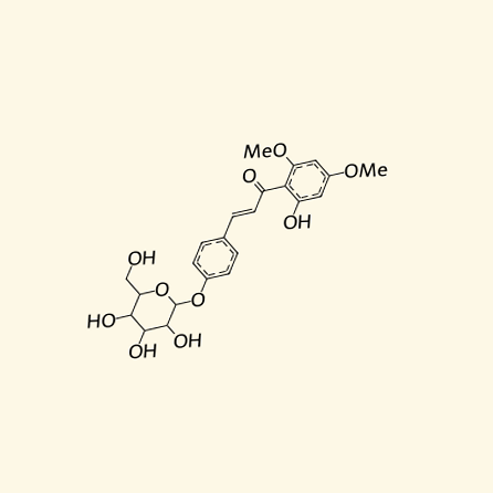 COc1cc(O)c(C(=O)/C=C/c2ccc(OC3OC(CO)C(O)C(O)C3O)cc2)c(OC)c1